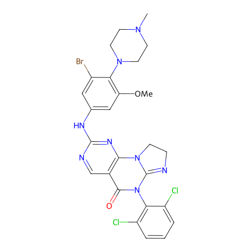 COc1cc(Nc2ncc3c(n2)N2CCN=C2N(c2c(Cl)cccc2Cl)C3=O)cc(Br)c1N1CCN(C)CC1